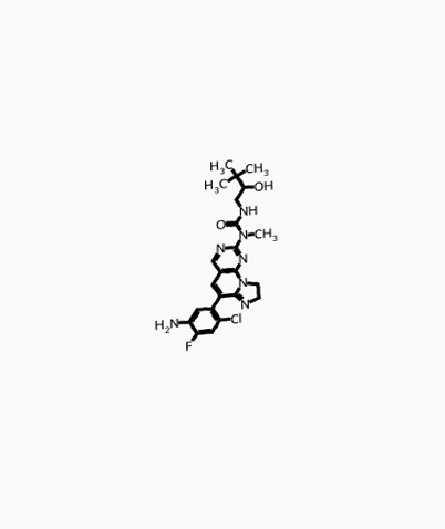 CN(C(=O)NCC(O)C(C)(C)C)c1ncc2c(n1)N1CCN=C1C(c1cc(N)c(F)cc1Cl)=C2